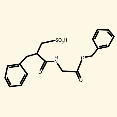 O=C(CNC(=O)C(Cc1ccccc1)CS(=O)(=O)O)OCc1ccccc1